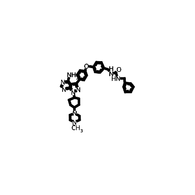 CN1CCN(C2CCC(n3nc(-c4ccc(Oc5ccc(CNC(=O)NCc6ccccc6)cc5)cc4)c4c(N)ncnc43)CC2)CC1